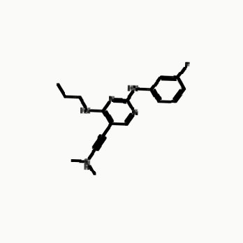 CCCNc1nc(Nc2cccc(F)c2)ncc1C#C[SiH](C)C